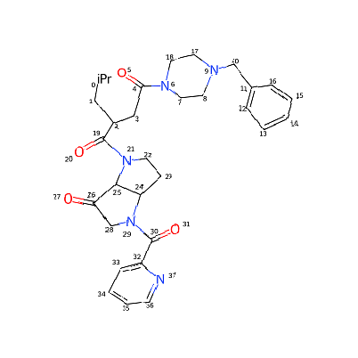 CC(C)CC(CC(=O)N1CCN(Cc2ccccc2)CC1)C(=O)N1CCC2C1C(=O)CN2C(=O)c1ccccn1